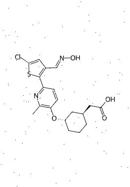 Cc1nc(-c2sc(Cl)cc2/C=N/O)ccc1O[C@H]1CCC[C@H](CC(=O)O)C1